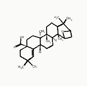 CC1(C)C=C2[C@H]3CC[C@@H]4[C@@]5(C)C6CC(O6)C(C)(C)C5CC[C@@]4(C)[C@]3(C)CC[C@@]2(C(=O)O)CC1